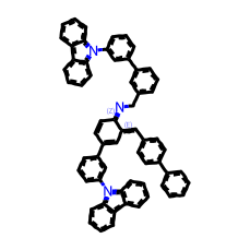 C1=CC(=N/Cc2cccc(-c3cccc(-n4c5ccccc5c5ccccc54)c3)c2)/C(=C/c2ccc(-c3ccccc3)cc2)C=C1c1cccc(-n2c3ccccc3c3ccccc32)c1